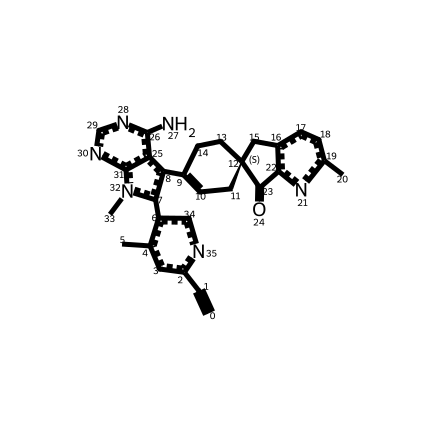 C#Cc1cc(C)c(-c2c(C3=CC[C@@]4(CC3)Cc3ccc(C)nc3C4=O)c3c(N)ncnc3n2C)cn1